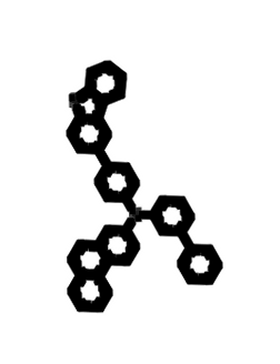 c1ccc(-c2cccc(N(c3ccc(-c4ccc5sc6ccccc6c5c4)cc3)c3ccc4c(ccc5ccccc54)c3)c2)cc1